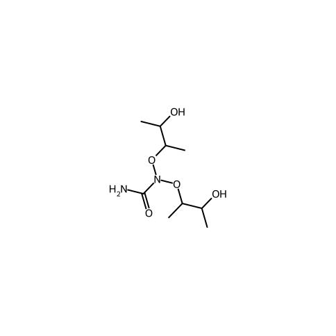 CC(O)C(C)ON(OC(C)C(C)O)C(N)=O